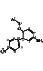 CC(=O)SOc1ccc(N)cc1-c1ccc(N)cc1